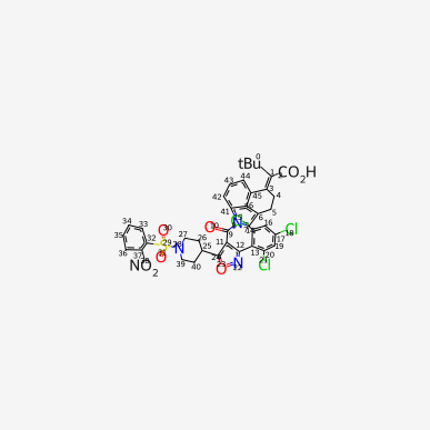 CC(C)(C)/C(C(=O)O)=C1/CCc2cn(C(=O)c3c(-c4c(Cl)cc(Cl)cc4Cl)noc3C3CCN(S(=O)(=O)c4ccccc4[N+](=O)[O-])CC3)c3cccc1c23